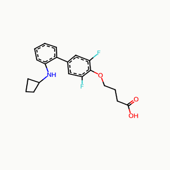 O=C(O)CCCOc1c(F)cc(-c2ccccc2NC2CCC2)cc1F